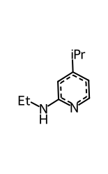 CCNc1cc(C(C)C)ccn1